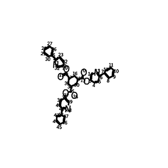 O=C(Oc1ccc(-c2ccccc2)nc1)C1CC(C(=O)Oc2ccc(-c3ccccc3)nc2)CC(C(=O)Oc2ccc(-c3ccccc3)nc2)C1